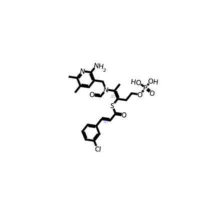 C/C(=C(\CCOP(=O)(O)O)SC(=O)/C=C/c1cccc(Cl)c1)N(C=O)Cc1cc(C)c(C)nc1N